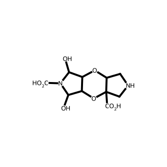 O=C(O)N1C(O)C2OC3CNCC3(C(=O)O)OC2C1O